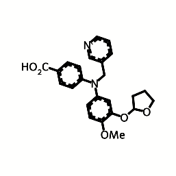 COc1ccc(N(Cc2cccnc2)c2ccc(C(=O)O)cc2)cc1OC1CCCO1